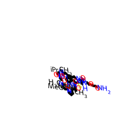 CCC(C)C(C(CC(=O)N1CCCC1C(OC)C(C)C(=O)NC(Cc1ccccc1)c1nccs1)OC)N(C)C(=O)CNC(=O)C(C(C)C)N(C)C(=O)CCCCCC(=O)NCC(=O)NCCOCCON